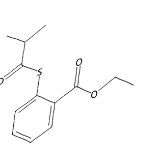 CCOC(=O)c1ccccc1SC(=O)C(C)C